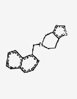 c1ccc2c(CN3CCc4sccc4C3)cccc2c1